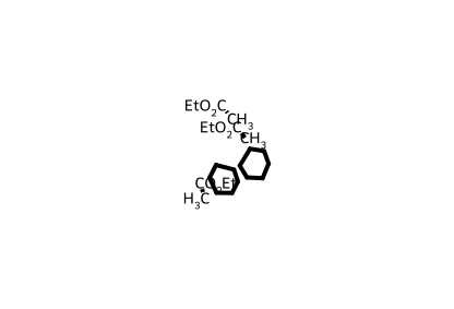 C1CCCCC1.C1CCCCC1.CCOC(C)=O.CCOC(C)=O.CCOC(C)=O